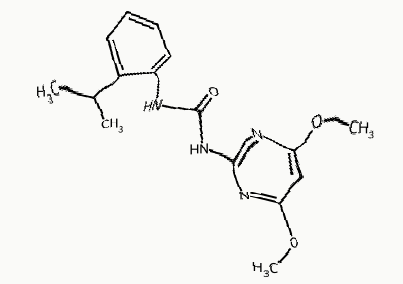 COc1cc(OC)nc(NC(=O)Nc2ccccc2C(C)C)n1